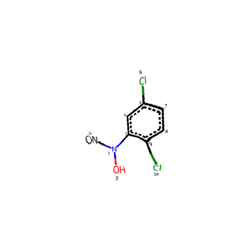 O=NN(O)c1cc(Cl)ccc1Cl